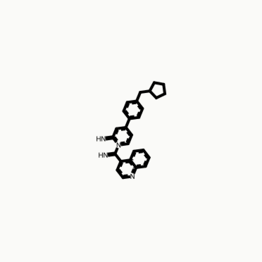 N=C(c1ccnc2ccccc12)n1ccc(-c2ccc(CC3CCCC3)cc2)cc1=N